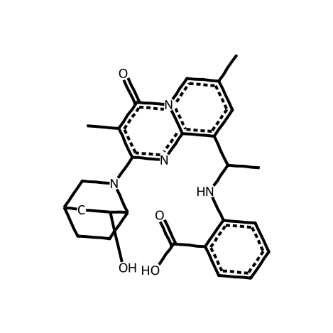 Cc1cc(C(C)Nc2ccccc2C(=O)O)c2nc(N3CC4CCC3C(O)C4)c(C)c(=O)n2c1